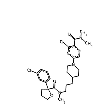 CN(C)C(=O)c1ccc(N2CCC(CCCN(C)C(=O)C3(c4cccc(Cl)c4)CCCO3)CC2)nc1Cl